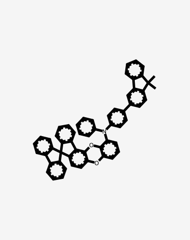 CC1(C)c2ccccc2-c2cc(-c3ccc(N(c4ccccc4)c4cccc5c4Oc4c(ccc6c4-c4ccccc4C64c6ccccc6-c6ccccc64)O5)cc3)ccc21